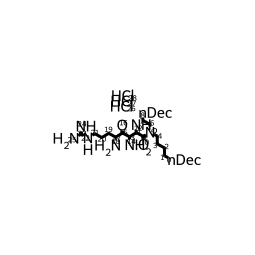 CCCCCCCCCCCCCCN(CCCCCCCCCCCC)C(=O)C(N)C(N)C(=O)[C@@H](N)CCCNC(=N)N.Cl.Cl.Cl